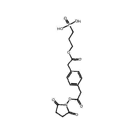 O=C(Cc1ccc(CC(=O)ON2C(=O)CCC2=O)cc1)OCCCP(=O)(O)O